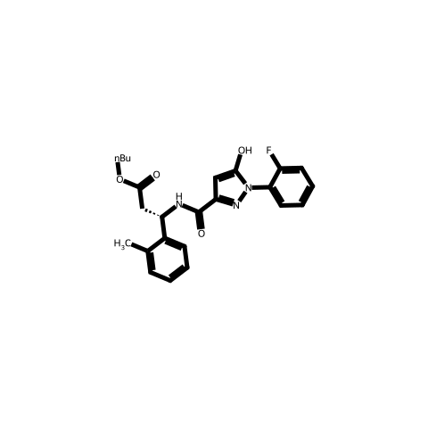 CCCCOC(=O)C[C@H](NC(=O)c1cc(O)n(-c2ccccc2F)n1)c1ccccc1C